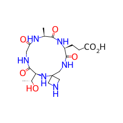 C[C@@H]1NC(=O)CNC(=O)[C@H]([C@@H](C)O)NC2(CNC2)CNC(=O)[C@H](CCC(=O)O)NC1=O